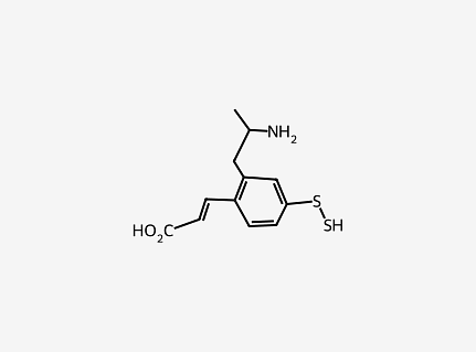 CC(N)Cc1cc(SS)ccc1C=CC(=O)O